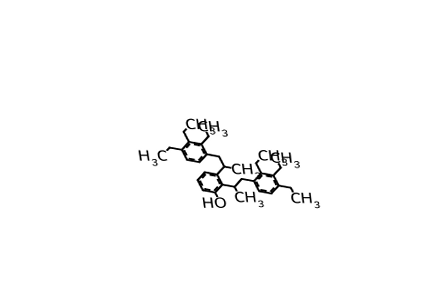 CCc1ccc(CC(C)c2cccc(O)c2C(C)Cc2ccc(CC)c(CC)c2CC)c(CC)c1CC